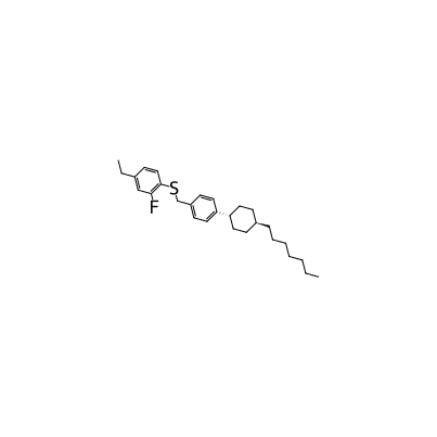 CCCCCCC[C@H]1CC[C@H](c2ccc(CSc3ccc(CC)cc3F)cc2)CC1